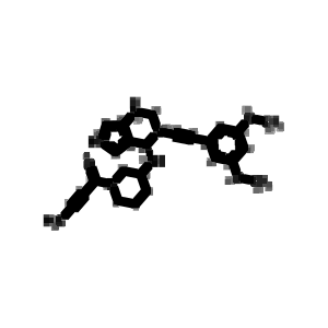 CC#CC(=O)N1CCCC(N[C@@H]2c3c[nH]cc3NCN2C#Cc2cc(OC)cc(OC)c2)C1